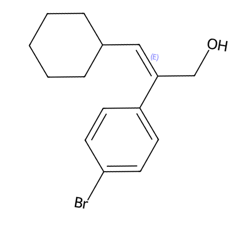 OC/C(=C/C1CCCCC1)c1ccc(Br)cc1